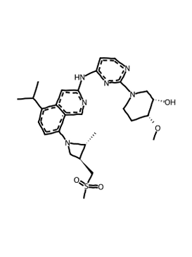 CO[C@@H]1CCN(c2nccc(Nc3cc4c(C(C)C)ccc(N5C[C@H](CS(C)(=O)=O)[C@H]5C)c4cn3)n2)C[C@@H]1O